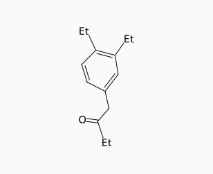 CCC(=O)Cc1ccc(CC)c(CC)c1